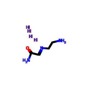 I.I.I.I.NCCN=CC(N)=O